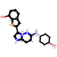 Oc1cccc2cc(-c3cnc4ccc(N[C@H]5CC[C@H](O)CC5)nn34)sc12